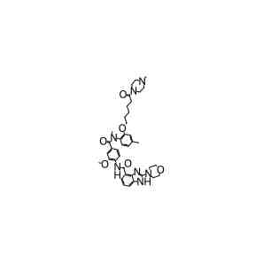 COc1cc(C(=O)N(C)c2ccc(C)cc2OCCCCCC(=O)N2CCN(C)CC2)ccc1NC(=O)c1cccc2[nH]c(N3CCOCC3)nc12